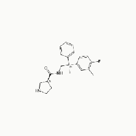 Cc1cc([C@@](C)(CNC(=O)[C@H]2CCNC2)c2ccccc2)ccc1F